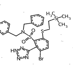 C[Si](C)(C)CCSc1ccc(Br)c(-c2nn[nH]n2)c1S(=O)(=O)N(Cc1ccccc1)Cc1ccccc1